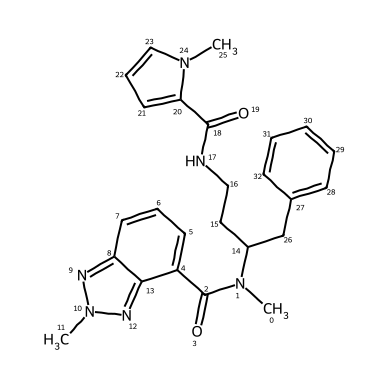 CN(C(=O)c1cccc2nn(C)nc12)C(CCNC(=O)c1cccn1C)Cc1ccccc1